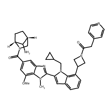 COc1cc(C(=O)N2C[C@H]3CC[C@@H]2C3N)cc2nc(-c3cc4cccc(C5CN(C(=O)Cc6ccncc6)C5)c4n3CC3CC3)n(C)c12